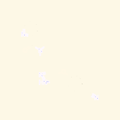 N#Cc1ccc(Oc2c[nH]nc2C2CCCN(C(=O)c3ccccn3)C2)cc1